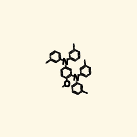 COc1ccc(N(c2cccc(C)c2)c2cccc(C)c2)cc1N(c1cccc(C)c1)c1cccc(C)c1